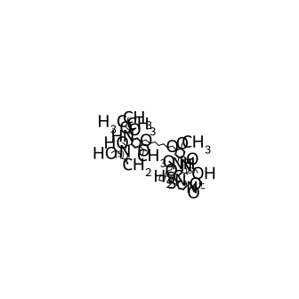 C=C1C[C@@H](CO)N(C(=O)c2cc(OC)c(OCCCCCOc3cc(NC(=O)OC(C)(C)C)c(C(O)N4CC(=C)C[C@H]4CO)cc3OC)cc2NC(=O)OCC2(SSc3ccc([N+](=O)[O-])cn3)CCC2)C1